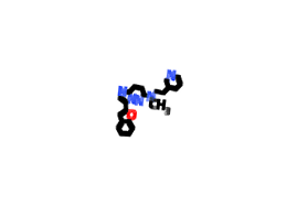 CN(CCc1cccnc1)c1ccc2ncc(-c3cc4ccccc4o3)n2n1